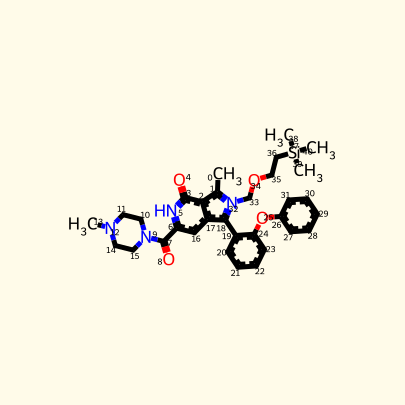 Cc1c2c(=O)[nH]c(C(=O)N3CCN(C)CC3)cc2c(-c2ccccc2Oc2ccccc2)n1COCC[Si](C)(C)C